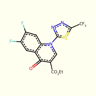 CCOC(=O)c1cn(-c2nnc(C(F)(F)F)s2)c2cc(F)c(F)cc2c1=O